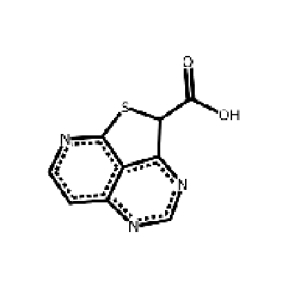 O=C(O)C1Sc2nccc3ncnc1c23